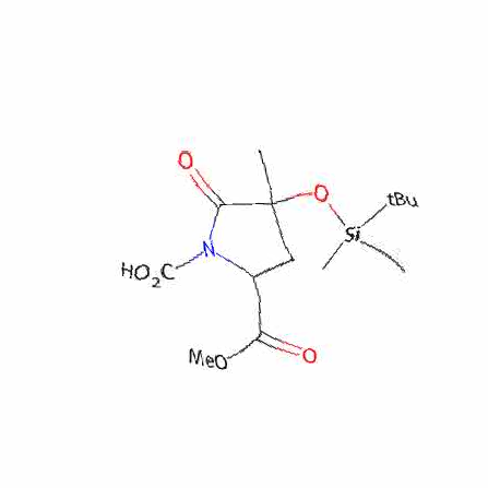 COC(=O)C1CC(C)(O[Si](C)(C)C(C)(C)C)C(=O)N1C(=O)O